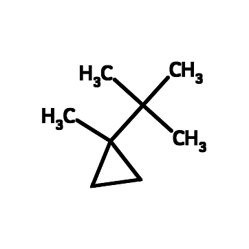 CC(C)(C)C1(C)CC1